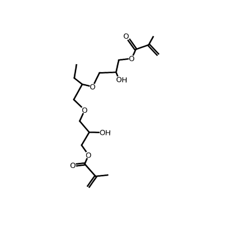 C=C(C)C(=O)OCC(O)COCC(CC)OCC(O)COC(=O)C(=C)C